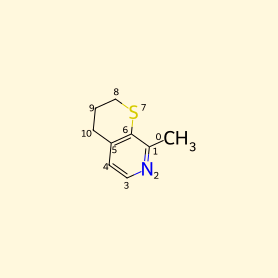 Cc1nccc2c1SCCC2